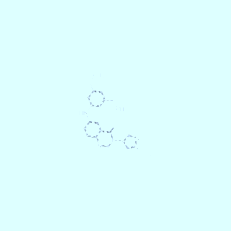 COc1cc(Nc2ccc3ncn(-c4cnn(C)c4)c(=O)c3c2)cc(OC)c1